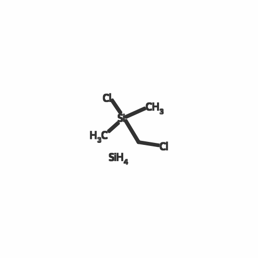 C[Si](C)(Cl)CCl.[SiH4]